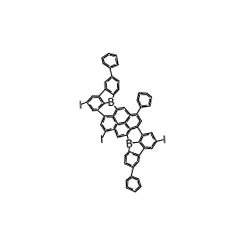 Ic1cc2c3c(c1)-c1cc(I)c4cc5c6c(cc(-c7ccccc7)c7cc(c1c4c76)B3c1ccc(-c3ccccc3)cc1-2)-c1cc(I)cc2c1B5c1ccc(-c3ccccc3)cc1-2